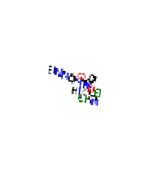 CCN1CCN(c2ccc(NC(=O)c3nn(OC(C)c4c(Cl)cncc4Cl)c4ccccc34)cc2)CC1